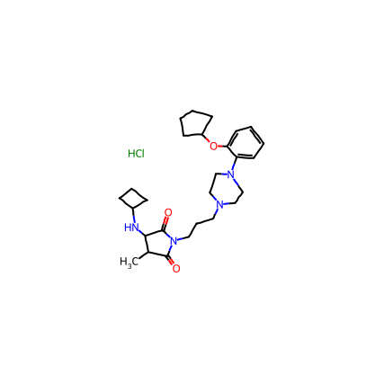 CC1C(=O)N(CCCN2CCN(c3ccccc3OC3CCCC3)CC2)C(=O)C1NC1CCC1.Cl